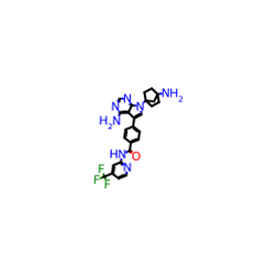 Nc1ncnc2c1c(-c1ccc(C(=O)Nc3cc(C(F)(F)F)ccn3)cc1)cn2C12CCC(N)(CC1)C2